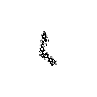 CS(=O)(=O)c1ccc(-c2ccn3c(-c4ccc(CNC(=O)Nc5ccc(Br)cc5)cc4)cnc3c2)cc1